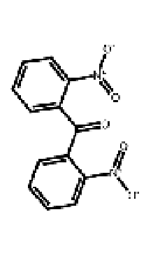 O=C(c1ccccc1[N+](=O)[O-])c1ccccc1[N+](=O)[O-]